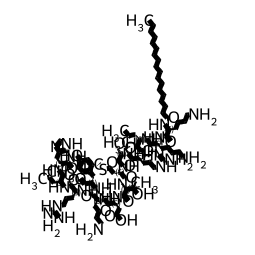 CCCCCCCCCCCCCCCCCC(=O)N[C@@H](CCCCN)C(=O)N[C@@H](CCCCN)C(=O)N[C@@H](CC(C)C)C(=O)N[C@@H](CCCNC(=N)N)C(=O)N[C@@H](CO)C(=O)N[C@@H](CCSC)C(=O)N[C@H](C(=O)N[C@@H](CC(=O)O)C(=O)N[C@@H](CCCCN)C(=O)N[C@@H](Cc1ccc(O)cc1)C(=O)N[C@@H](CCCNC(=N)N)C(=O)N[C@@H](CC(C)C)C(=O)N[C@@H](Cc1c[nH]cn1)C(N)=O)[C@@H](C)O